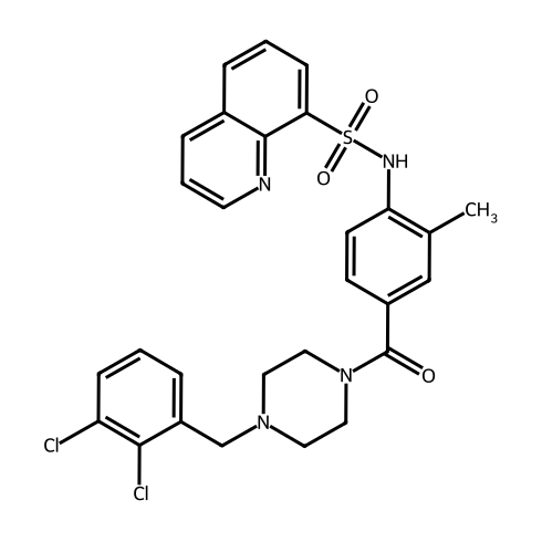 Cc1cc(C(=O)N2CCN(Cc3cccc(Cl)c3Cl)CC2)ccc1NS(=O)(=O)c1cccc2cccnc12